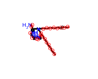 COCCOCCOCCOCCOCCOCCOCCOCCCN(CCCOCCOCCOCCOCCOCCOCCOCCOC)CCCc1cc(NC(=O)[C@H](C)NC(=O)[C@@H](NC(=O)CN2C(=O)C=CC2=O)C(C)C)ccc1COC(N)=O